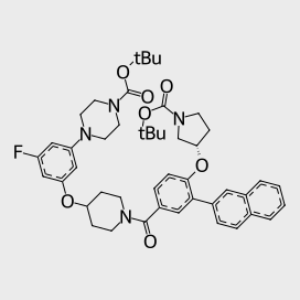 CC(C)(C)OC(=O)N1CCN(c2cc(F)cc(OC3CCN(C(=O)c4ccc(O[C@H]5CCN(C(=O)OC(C)(C)C)C5)c(-c5ccc6ccccc6c5)c4)CC3)c2)CC1